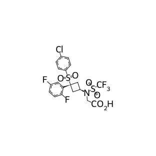 O=C(O)CN([C@H]1C[C@](c2cc(F)ccc2F)(S(=O)(=O)c2ccc(Cl)cc2)C1)S(=O)(=O)C(F)(F)F